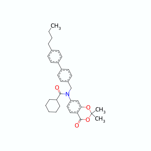 CCCCc1ccc(-c2ccc(CN(C(=O)C3CCCCC3)c3ccc4c(c3)OC(C)(C)OC4=O)cc2)cc1